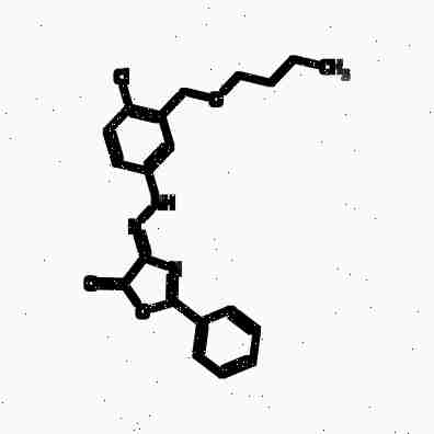 CCCCOCc1cc(NN=C2N=C(c3ccccc3)OC2=O)ccc1Cl